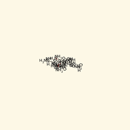 C[C@@H](O)[C@H](NC(=O)[C@H](Cc1c[nH]c2ccccc12)NC(=O)[C@@H](NC(=O)[C@H](CCCCN)NC(=O)[C@H](CC(N)=O)NC(=O)[C@H](CC(N)=O)NC(=O)[C@H](CCCCN)NC(=O)[C@@H](N)CCCNC(=N)N)[C@@H](C)O)C(=O)N[C@@H](Cc1c[nH]c2ccccc12)C(N)=O